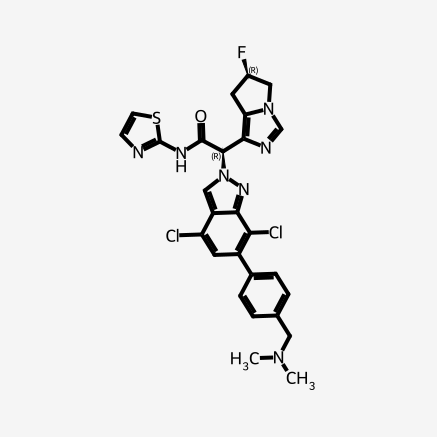 CN(C)Cc1ccc(-c2cc(Cl)c3cn([C@@H](C(=O)Nc4nccs4)c4ncn5c4C[C@@H](F)C5)nc3c2Cl)cc1